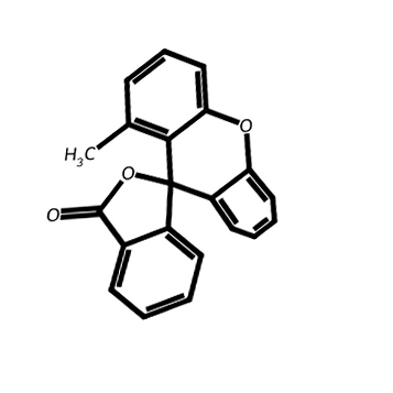 Cc1cccc2c1C1(OC(=O)c3ccccc31)c1ccccc1O2